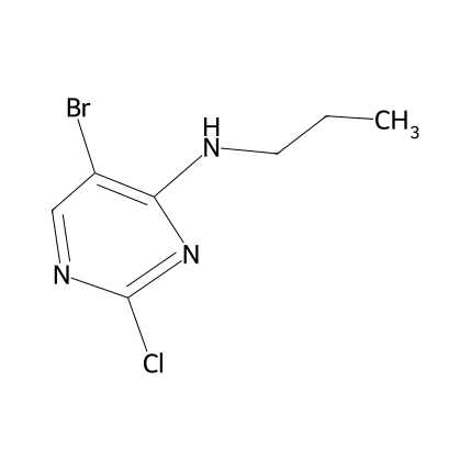 CCCNc1nc(Cl)ncc1Br